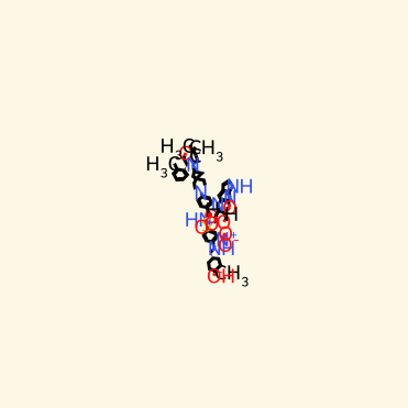 Cc1ccccc1[C@@H]1COC(C)(C)CCN1C1CC2(CCN(c3ccc(C(=O)NS(=O)(=O)c4ccc(NC[C@H]5CC[C@](C)(O)CC5)c([N+](=O)[O-])c4)c(N4c5cc6cc[nH]c6nc5O[C@H]5COCC[C@@H]54)c3)CC2)C1